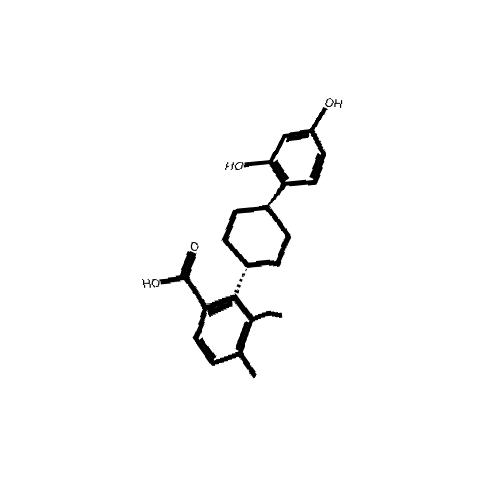 Cc1ccc(C(=O)O)c([C@H]2CC[C@H](c3ccc(O)cc3O)CC2)c1C